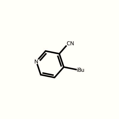 CCC(C)c1ccncc1C#N